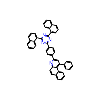 c1ccc(-c2cc(-c3ccc(-c4nc(-c5cccc6ccccc56)nc(-c5cccc6ccccc56)n4)cc3)nc3ccc4ccccc4c23)cc1